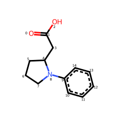 O=C(O)CC1CCCN1c1ccccc1